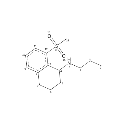 CCCNC1CCCc2cccc(S(C)(=O)=O)c21